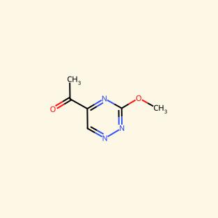 COc1nncc(C(C)=O)n1